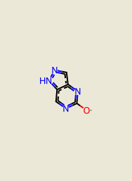 [O]c1ncc2[nH]ncc2n1